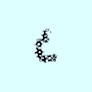 Cc1c(CN2CCC(Nc3ncnc4sc(CC(F)(F)F)cc34)CC2)ccc2c1cc(C#N)n2CC1(N2CCN(S(C)(=O)=O)CC2)CC1